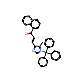 Cc1c(C=CC(=O)c2cccc3ccccc23)ncn1C(c1ccccc1)(c1ccccc1)c1ccccc1